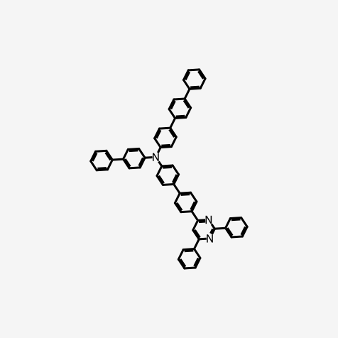 c1ccc(-c2ccc(-c3ccc(N(c4ccc(-c5ccccc5)cc4)c4ccc(-c5ccc(-c6cc(-c7ccccc7)nc(-c7ccccc7)n6)cc5)cc4)cc3)cc2)cc1